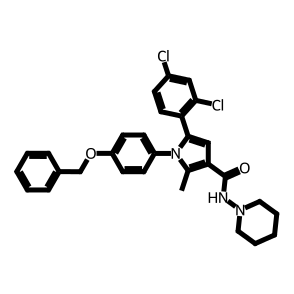 Cc1c(C(=O)NN2CCCCC2)cc(-c2ccc(Cl)cc2Cl)n1-c1ccc(OCc2ccccc2)cc1